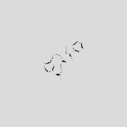 COC(=O)CN1C(=O)[C@@H](NC(=O)c2ccccc2)CNc2ccccc21